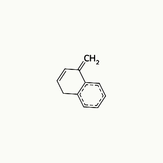 C=C1C=CCc2ccccc21